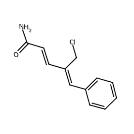 NC(=O)C=CC(=Cc1ccccc1)CCl